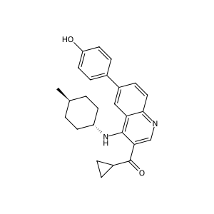 C[C@H]1CC[C@H](Nc2c(C(=O)C3CC3)cnc3ccc(-c4ccc(O)cc4)cc23)CC1